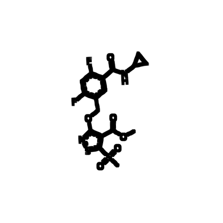 COC(=O)c1c(OCc2cc(C(=O)NC3CC3)c(F)cc2F)nsc1S(C)(=O)=O